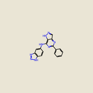 c1ccc(-c2nc(Nc3ccc4[nH]nnc4c3)c3[nH]ncc3n2)cc1